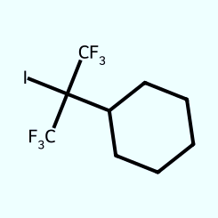 FC(F)(F)C(I)(C1CCCCC1)C(F)(F)F